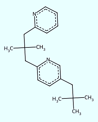 CC(C)(C)Cc1ccc(CC(C)(C)Cc2ccccn2)nc1